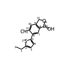 CCc1ccc(-c2cc3c(cc2Cl)COB3O)s1